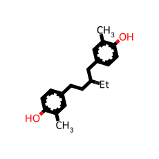 CCC(CCc1ccc(O)c(C)c1)Cc1ccc(O)c(C)c1